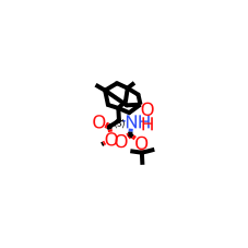 COC(=O)[C@@H](NC(=O)OC(C)(C)C)C12CC3(C)CC(C)(CC(O)(C3)C1)C2